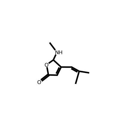 CNC1OC(=O)C=C1C=C(C)C